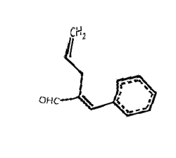 C=CCC(C=O)=Cc1ccccc1